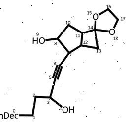 CCCCCCCCCCCCC(O)C#CC1C(O)CC2C1CC21OCCO1